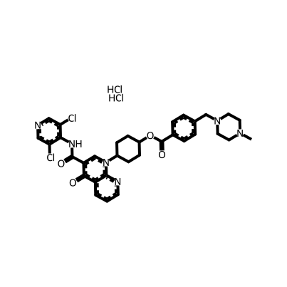 CN1CCN(Cc2ccc(C(=O)OC3CCC(n4cc(C(=O)Nc5c(Cl)cncc5Cl)c(=O)c5cccnc54)CC3)cc2)CC1.Cl.Cl